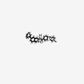 CN1CCN(C[C@H]2CC[C@H](C(=O)Nc3cc4cc(-c5cnccn5)ccc4cn3)CC2)CC1